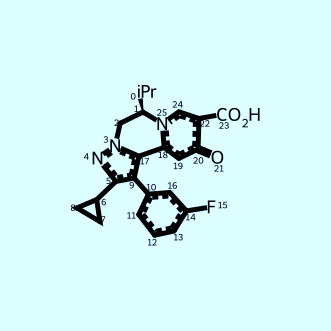 CC(C)[C@@H]1Cn2nc(C3CC3)c(-c3cccc(F)c3)c2-c2cc(=O)c(C(=O)O)cn21